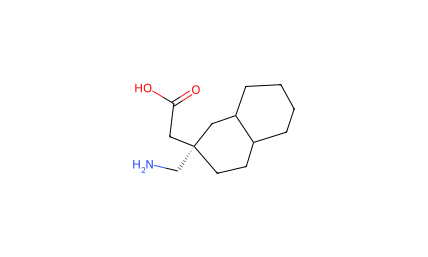 NC[C@@]1(CC(=O)O)CCC2CCCCC2C1